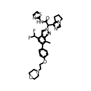 Cc1c(-c2ccc(OCCN3CCOCC3)cc2)cc(C(F)F)c2cn(C(C(=O)Nc3nccs3)c3ncn4c3CCC4)nc12